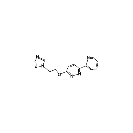 c1ccc(-c2ccc(OCCn3ccnc3)nn2)nc1